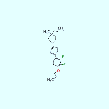 CCCOc1ccc(-c2ccc(C3CCC(C)(CCC)CC3)cc2)c(F)c1F